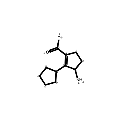 NC1CCC(C(=O)O)=C1C1CCCC1